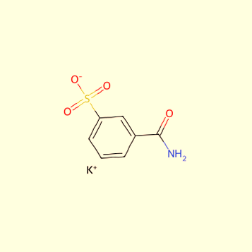 NC(=O)c1cccc(S(=O)(=O)[O-])c1.[K+]